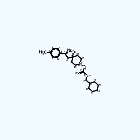 Cc1ccc(C2=NOC3(CCN(OC(=S)NCC4CCCCC4)CC3)C2)cc1